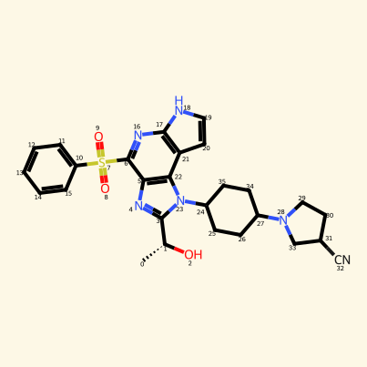 C[C@@H](O)c1nc2c(S(=O)(=O)c3ccccc3)nc3[nH]ccc3c2n1C1CCC(N2CCC(C#N)C2)CC1